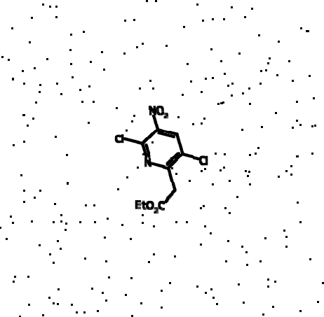 CCOC(=O)Cc1nc(Cl)c([N+](=O)[O-])cc1Cl